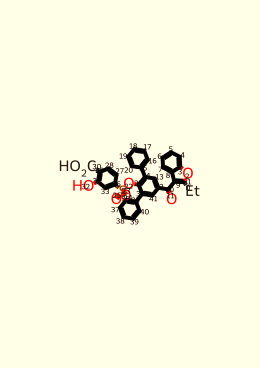 CCc1oc2ccccc2c1C(=O)c1cc(-c2ccccc2)c(OS(=O)(=O)c2ccc(C(=O)O)c(O)c2)c(-c2ccccc2)c1